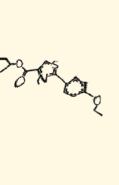 CCOc1ccc(-c2nc(C(=O)OC3CC3)cs2)cc1